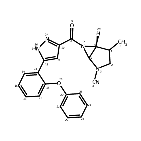 CC1CN(C#N)C2[C@@H]1N2C(=O)c1cc(-c2ccccc2Oc2ccccc2)[nH]n1